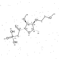 COCCO[C@@H]1[C@H](OC)[C@@H](C(=S)CP(=O)(O)O)O[C@H]1C